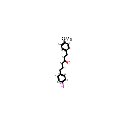 COc1ccc(CCC(=O)CCCc2ccc(I)cc2)cc1